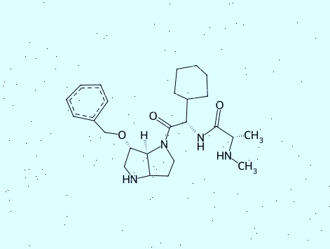 CN[C@@H](C)C(=O)N[C@H](C(=O)N1CCC2NC[C@H](OCc3ccccc3)[C@H]21)C1CCCCC1